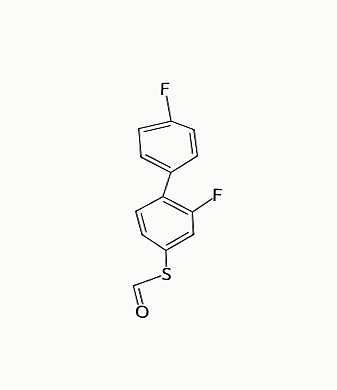 O=CSc1ccc(-c2ccc(F)cc2)c(F)c1